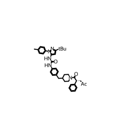 CC(=O)C[C@@H](C(=O)N1CCC(Cc2ccc(NC(=O)Nc3cc(C(C)(C)C)nn3-c3ccc(C)cc3)cc2)CC1)c1ccccc1